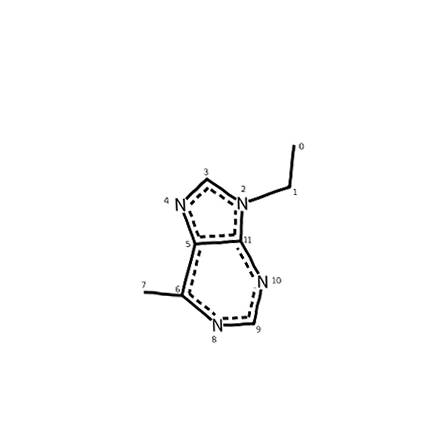 CCn1cnc2c(C)ncnc21